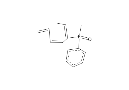 C=C/C=C\C(=C/C)P(C)(=O)c1ccccc1